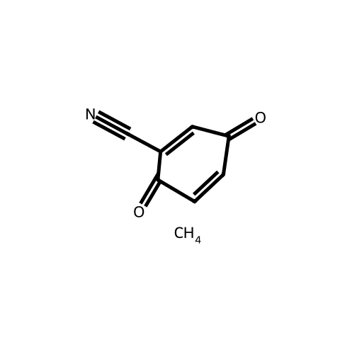 C.N#CC1=CC(=O)C=CC1=O